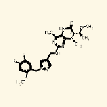 C=C(OC)[C@H]1C(=O)Nc2c(C)nc(NCc3cnn(Cc4cc(F)c(F)cc4OC)c3)nc2N1C